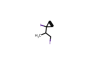 CC(CI)C1(I)C#C1